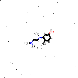 CCCN(CCN(C)C)c1cc(O)ccc1[N+](=O)[O-]